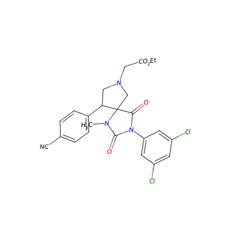 CCOC(=O)CN1CC(c2ccc(C#N)cc2)C2(C1)C(=O)N(c1cc(Cl)cc(Cl)c1)C(=O)N2C